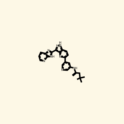 C=C(CC(C)(C)C)Nc1cncc(-c2ccc3[nH]nc(-c4nc5cccnc5[nH]4)c3n2)c1